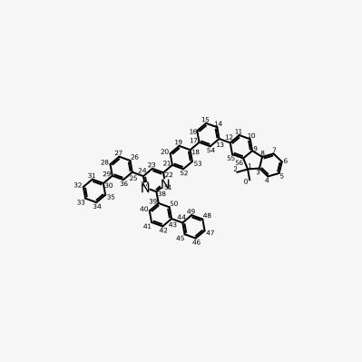 CC1(C)c2ccccc2-c2ccc(-c3cccc(-c4ccc(-c5cc(-c6cccc(-c7ccccc7)c6)nc(-c6cccc(-c7ccccc7)c6)n5)cc4)c3)cc21